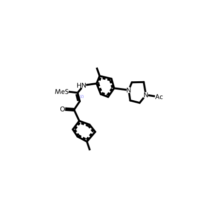 CS/C(=C\C(=O)c1ccc(C)cc1)Nc1ccc(N2CCN(C(C)=O)CC2)cc1C